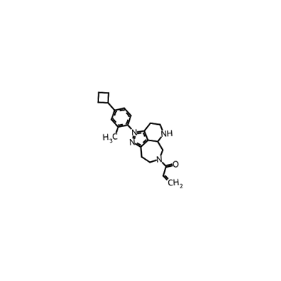 C=CC(=O)N1CCc2nn(-c3ccc(C4CCC4)cc3C)c3c2C(C1)NCC3